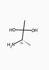 C[C@H](N)C(C)(O)O